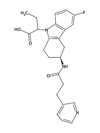 CCC(C(=O)O)n1c2c(c3cc(F)ccc31)C[C@@H](NC(=O)CCc1cccnc1)CC2